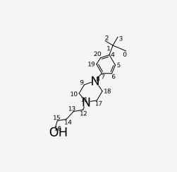 CC(C)(C)c1ccc(N2CCN(CCCCO)CC2)cc1